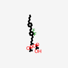 C=C(C)C(=O)OCC(CCCCc1ccc(/C=C/c2ccc(CCCCC)cc2)c(F)c1F)COC(=O)C(=C)CO